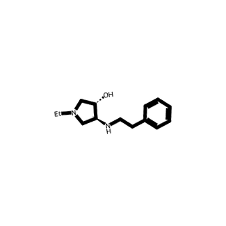 CCN1C[C@H](NCCc2ccccc2)[C@@H](O)C1